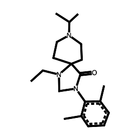 CCN1CN(c2c(C)cccc2C)C(=O)C12CCN(C(C)C)CC2